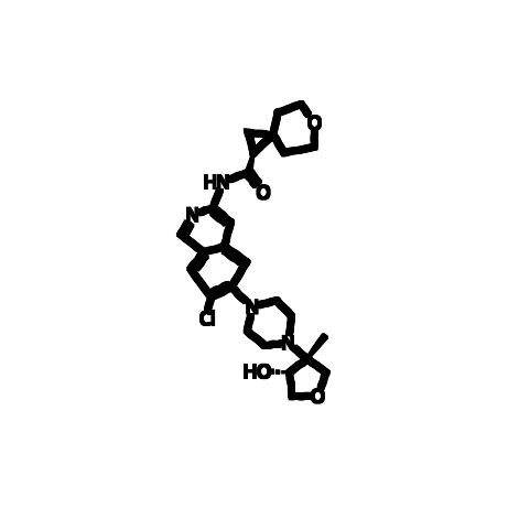 C[C@@]1(N2CCN(c3cc4cc(NC(=O)[C@H]5CC56CCOCC6)ncc4cc3Cl)CC2)COC[C@@H]1O